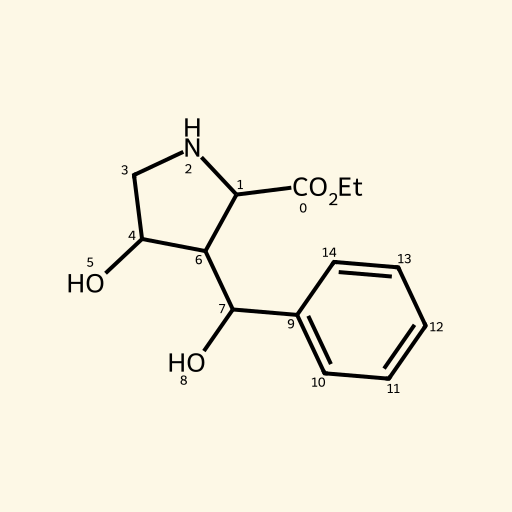 CCOC(=O)C1NCC(O)C1C(O)c1ccccc1